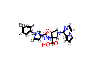 O=C(NC1(C(=O)O)CCN(c2nccn3cccc23)C1)c1ccn(-c2ccc(F)cc2)n1